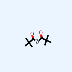 CC(C)(C)[C](=O)[Zr][C](=O)C(C)(C)C